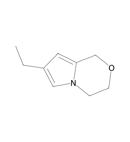 CCc1cc2n(c1)CCOC2